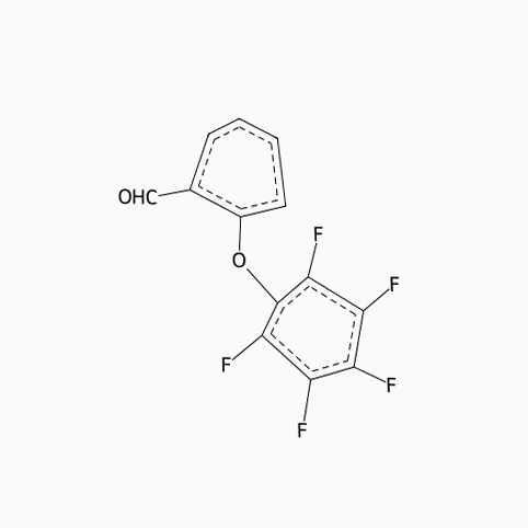 O=Cc1ccccc1Oc1c(F)c(F)c(F)c(F)c1F